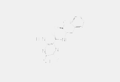 Nc1nc(N)c(C(=O)NC(Cc2ccccc2)C(=O)O)nc1Cl